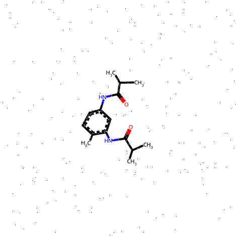 Cc1ccc(NC(=O)C(C)C)cc1NC(=O)C(C)C